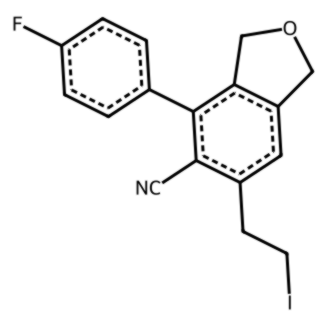 N#Cc1c(CCI)cc2c(c1-c1ccc(F)cc1)COC2